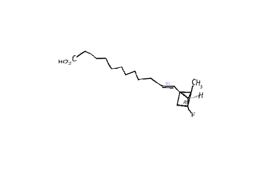 C[C@H]1C2(F)CC1(/C=C/CCCCCCCCCC(=O)O)C2